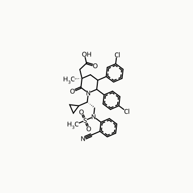 C[C@]1(CC(=O)O)CC(c2cccc(Cl)c2)C(c2ccc(Cl)cc2)N([C@H](CN(c2ccccc2C#N)S(C)(=O)=O)C2CC2)C1=O